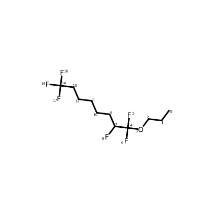 CCCOC(F)(F)C(F)CCCCCC(F)(F)F